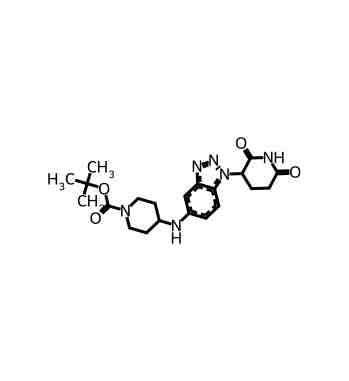 CC(C)(C)OC(=O)N1CCC(Nc2ccc3c(c2)nnn3C2CCC(=O)NC2=O)CC1